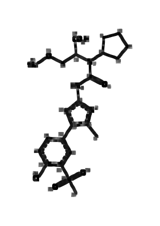 Cc1nc(NC(=O)N(C2CCCC2)C(COC(C)(C)C)C(=O)O)sc1-c1ccc(Cl)c(S(C)(=O)=O)c1